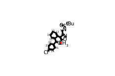 Cc1onc(C=N[S+]([O-])C(C)(C)C)c1-c1ccccc1C(=O)c1ccc(Cl)cc1